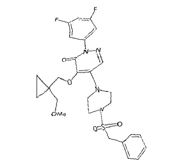 COCC1(COc2c(N3CCN(S(=O)(=O)Cc4ccccc4)CC3)cnn(-c3cc(F)cc(F)c3)c2=O)CC1